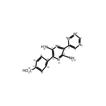 Nc1nc(-c2cncnn2)c(N)nc1-c1ccc(C(=O)O)cc1